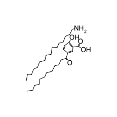 CCCCCCCCCCCC(=O)c1ccc(O)c(C(=O)O)c1.CCCCCCCCCCCCCCCCN